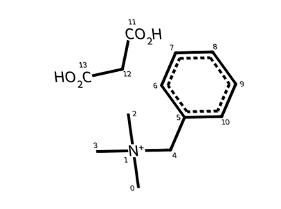 C[N+](C)(C)Cc1ccccc1.O=C(O)CC(=O)O